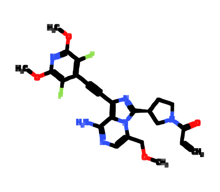 C=CC(=O)N1CC[C@H](c2nc(C#Cc3c(F)c(OC)nc(OC)c3F)c3c(N)ncc(COC)n23)C1